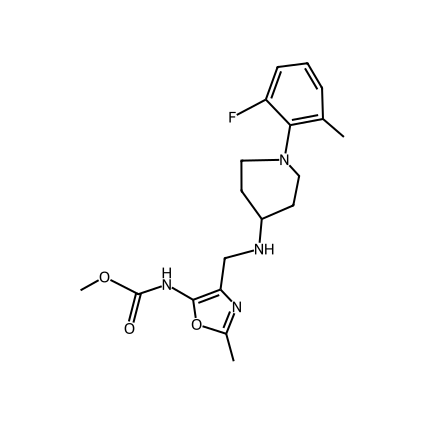 COC(=O)Nc1oc(C)nc1CNC1CCN(c2c(C)cccc2F)CC1